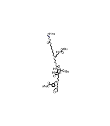 CCCCCC/C=C/COC(=O)CCCCCCCCN(CCCCCC(=O)Nc1nc(OCCCC)nc2c1[nH]c(=O)n2CCCN(CCCN1CCOCC1)Cc1cccc(C(=O)OC)c1)CCCNC(=O)OC(C)(C)C